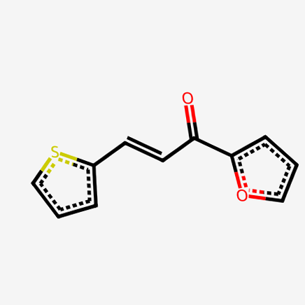 O=C(C=Cc1cccs1)c1ccco1